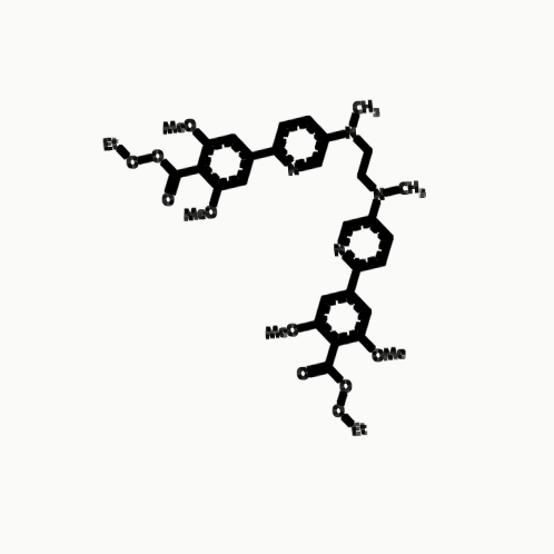 CCOOC(=O)c1c(OC)cc(-c2ccc(N(C)CCN(C)c3ccc(-c4cc(OC)c(C(=O)OOCC)c(OC)c4)nc3)cn2)cc1OC